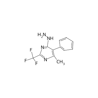 Cc1nc(C(F)(F)F)nc(NN)c1-c1ccccc1